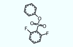 O=S(=O)(Oc1ccccc1)c1c(F)cccc1F